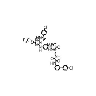 COC(=O)[C@H](CCNC(=O)C(=O)Nc1cccc(-c2ccc(Cl)cc2)c1)NC(=O)c1ccc(Nc2nc(NC3(c4ccc(Cl)cc4)CC3)nc(OCC(F)(F)F)n2)cc1